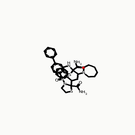 NC(=O)C1(C(CC(c2ccccc2)C2(C(N)=O)SCCN2S(=O)(=O)c2ccc(-c3ccccc3)cc2)N2CCCCCC2)NCCS1